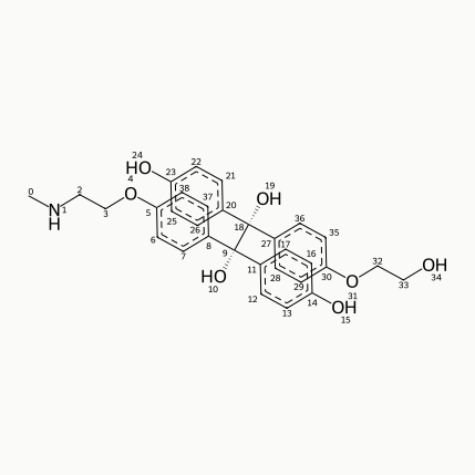 CNCCOc1ccc([C@](O)(c2ccc(O)cc2)[C@@](O)(c2ccc(O)cc2)c2ccc(OCCO)cc2)cc1